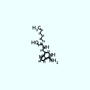 CCCCCC[C@@H](CO)NCc1c[nH]c(N)c2ccnc1-2